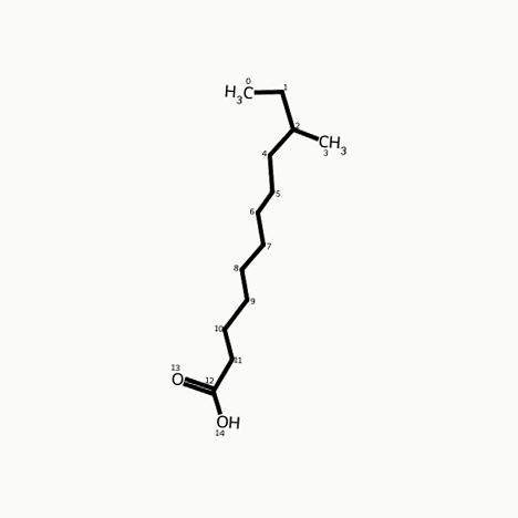 CCC(C)CCCCCCCCC(=O)O